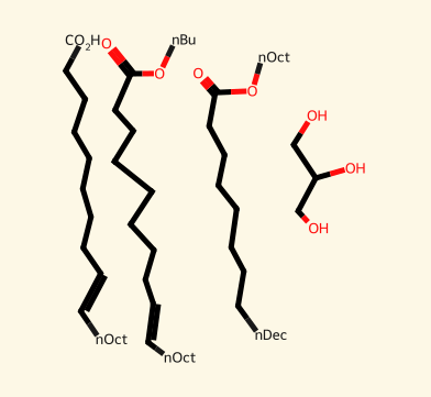 CCCCCCCCC=CCCCCCCCC(=O)O.CCCCCCCCC=CCCCCCCCC(=O)OCCCC.CCCCCCCCCCCCCCCCCC(=O)OCCCCCCCC.OCC(O)CO